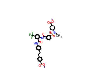 CCN(C1CCC(C(=O)OI)CC1)S(=O)(=O)c1cccc(C(=O)Nc2ccc(C(F)(F)F)cc2C(=O)Nc2ccc(CCc3ccc(C(=O)OI)cc3)cc2)c1